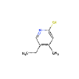 CCc1cnc(S)cc1C